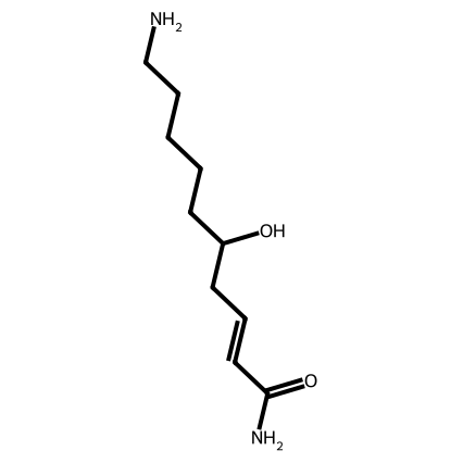 NCCCCCC(O)CC=CC(N)=O